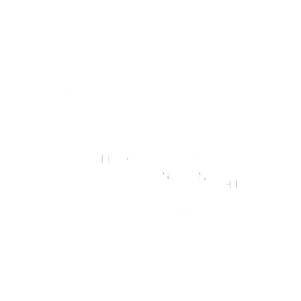 O=C(O)C1c2c(-c3ccc(F)cc3)csc2C2CN1C(=O)N2O